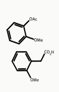 COc1ccccc1CC(=O)O.COc1ccccc1OC(C)=O